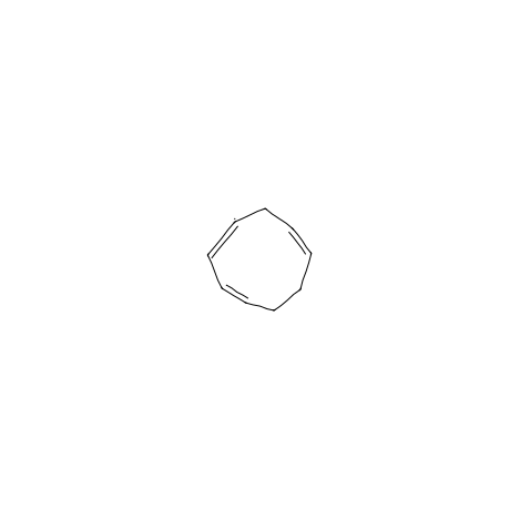 [C]1=CC=CCCC=CC1